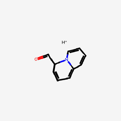 O=CC1C=CC=C2C=CC=CN21.[H+]